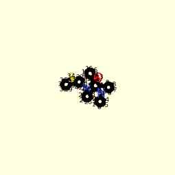 c1ccc(-n2c3ccccc3c3c4oc5ccccc5c4c4c(c5ccccc5n4-c4ccc5sc6ccccc6c5c4)c32)cc1